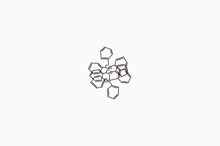 c1cc[c]([Ge]([c]2ccccc2)([c]2ccccc2)[Ge]([c]2ccccc2)([c]2ccccc2)[Ge]([c]2ccccc2)([c]2ccccc2)[c]2ccccc2)cc1